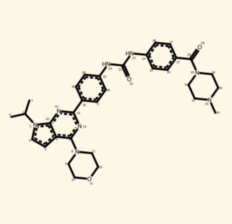 CC(C)n1ccc2c(N3CCOCC3)nc(-c3ccc(NC(=O)Nc4ccc(C(=O)N5CCN(C)CC5)cc4)cc3)nc21